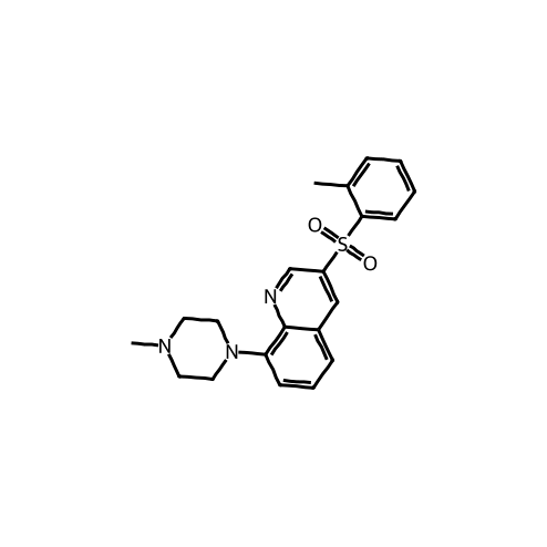 Cc1ccccc1S(=O)(=O)c1cnc2c(N3CCN(C)CC3)cccc2c1